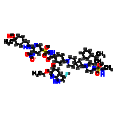 CCOc1nc2[nH]cc(F)c2cc1Oc1cc(N2CCC3(CC2)CC(N2CCN(S(=O)(=O)NC)C[C@H]2c2ccccc2C(C)C)C3)ccc1C(=O)NS(=O)(=O)c1cnc(NCC2CCC(C)(O)CC2)c([N+](=O)[O-])c1